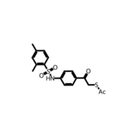 CC(=O)SCC(=O)c1ccc(NS(=O)(=O)c2ccc(C)cc2C)cc1